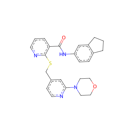 O=C(Nc1ccc2c(c1)CCC2)c1cccnc1SCc1ccnc(N2CCOCC2)c1